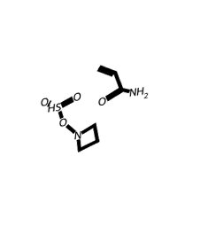 C=CC(N)=O.O=[SH](=O)ON1CCC1